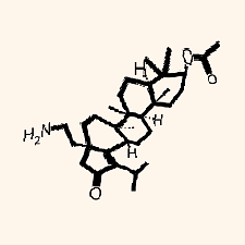 CC(=O)O[C@H]1CC[C@]2(C)[C@H]3CC[C@@H]4C5=C(C(C)C)C(=O)C[C@]5(CCN)CC[C@@]4(C)[C@]3(C)CC[C@H]2C1(C)C